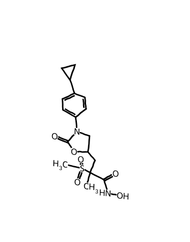 CC(CC1CN(c2ccc(C3CC3)cc2)C(=O)O1)(C(=O)NO)S(C)(=O)=O